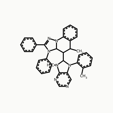 Cc1ccccc1N1c2cncnc2N(C)C1C1C(C)c2ccccc2N2N=C(c3ccccc3)N(c3ccccc3)C12